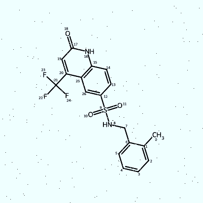 Cc1ccccc1CNS(=O)(=O)c1ccc2[nH]c(=O)cc(C(F)(F)F)c2c1